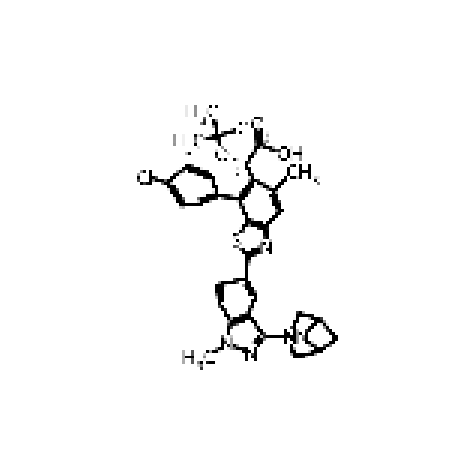 Cc1cc2nc(-c3ccc4c(c3)c(N3CC5CC(C3)N5)nn4C)sc2c(-c2ccc(Cl)cc2)c1[C@H](OC(C)(C)C)C(=O)O